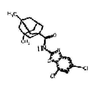 CC12CC3CC(C)(C1)CC(C(=O)Nc1nc4cc(Cl)cc(Cl)c4o1)(C3)C2